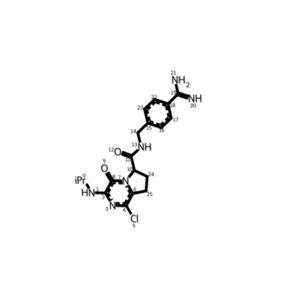 CC(C)Nc1nc(Cl)c2n(c1=O)C(C(=O)NCc1ccc(C(=N)N)cc1)CC2